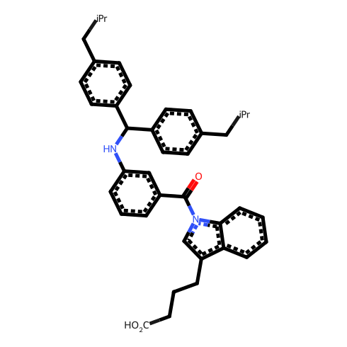 CC(C)Cc1ccc(C(Nc2cccc(C(=O)n3cc(CCCC(=O)O)c4ccccc43)c2)c2ccc(CC(C)C)cc2)cc1